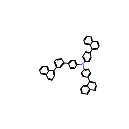 c1cc(-c2ccc(N(c3ccc(-c4cccc5ccccc45)cc3)c3ccc(-c4cccc5ccccc45)cc3)cc2)cc(-c2cccc3ccccc23)c1